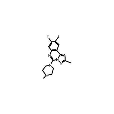 Cc1nc2c3cc(I)c(F)cc3nc(N3CCN(C)CC3)n2n1